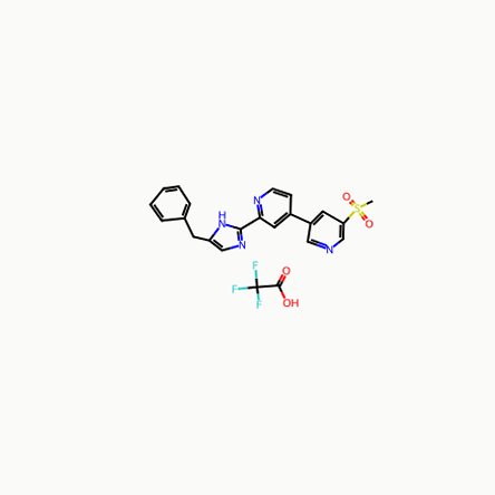 CS(=O)(=O)c1cncc(-c2ccnc(-c3ncc(Cc4ccccc4)[nH]3)c2)c1.O=C(O)C(F)(F)F